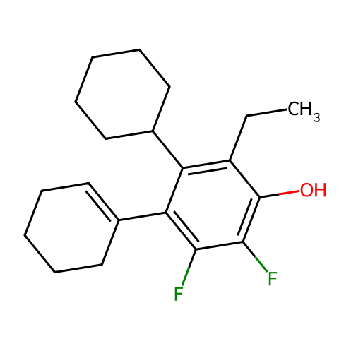 CCc1c(O)c(F)c(F)c(C2=CCCCC2)c1C1CCCCC1